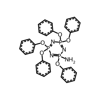 NP1(Oc2ccccc2)=NP(Oc2ccccc2)(Oc2ccccc2)=NP(Oc2ccccc2)(Oc2ccccc2)=N1